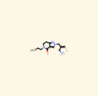 COCCN1CCc2nn(C/C(=C/F)CN)cc2C1=O